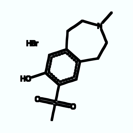 Br.CN1CCc2cc(O)c(S(C)(=O)=O)cc2CC1